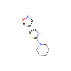 c1cnoc1.c1csc(N2CCCCC2)n1